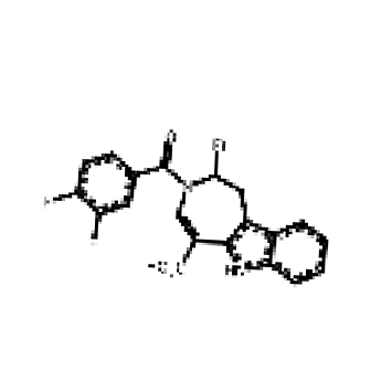 CCC1Cc2c([nH]c3ccccc23)C(C(=O)O)=CN1C(=O)c1ccc(F)c(F)c1